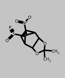 CC1(C)OC2C3C=CC(C2O1)C(S(=O)#P)C3[N+](=O)[O-]